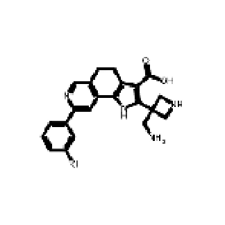 NCC1(c2[nH]c3c(c2C(=O)O)CCc2cnc(-c4cccc(Cl)c4)cc2-3)CNC1